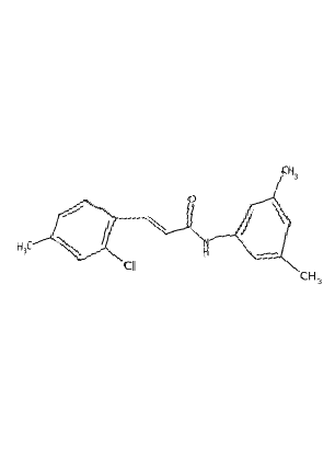 Cc1cc(C)cc(NC(=O)C=Cc2ccc(C)cc2Cl)c1